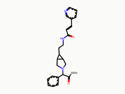 CNC(=O)C(c1ccccc1)N1CC2C(CCNC(=O)/C=C/c3cccnc3)C2C1